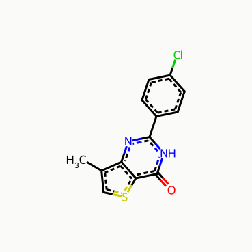 Cc1csc2c(=O)[nH]c(-c3ccc(Cl)cc3)nc12